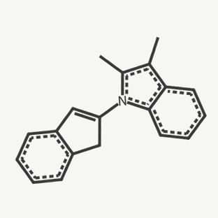 Cc1c(C)n(C2=Cc3ccccc3C2)c2ccccc12